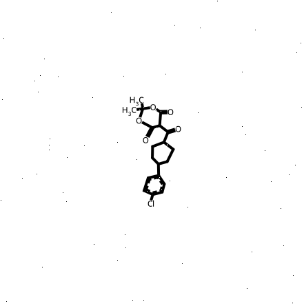 CC1(C)OC(=O)C(C(=O)C2CCC(c3ccc(Cl)cc3)CC2)C(=O)O1